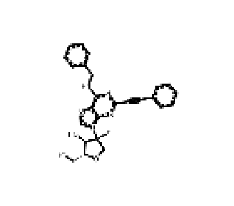 OC[C@H]1OC[C@@](F)(n2cnc3c(NCc4ccccc4)nc(C#Cc4ccccc4)nc32)[C@@H]1O